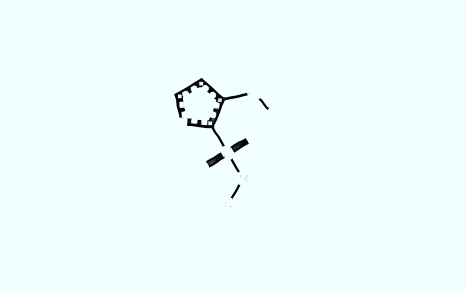 COc1ccsc1S(=O)(=O)NN